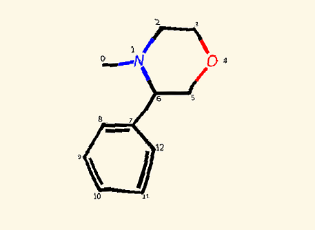 CN1CCOCC1c1ccccc1